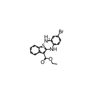 CCOC(=O)c1c(Nc2ccc(Br)cc2N)sc2ccccc12